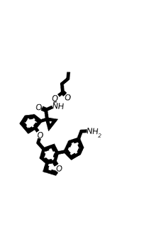 CCCC(=O)ONC(=O)C1(c2ccccc2OCc2cc(-c3cccc(CN)c3)c3occc3c2)CC1